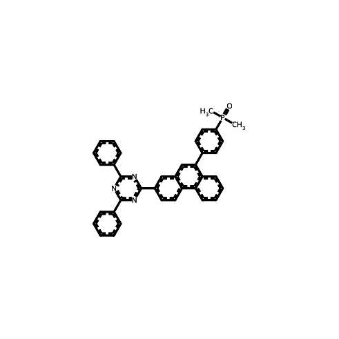 CP(C)(=O)c1ccc(-c2cc3cc(-c4nc(-c5ccccc5)nc(-c5ccccc5)n4)ccc3c3ccccc23)cc1